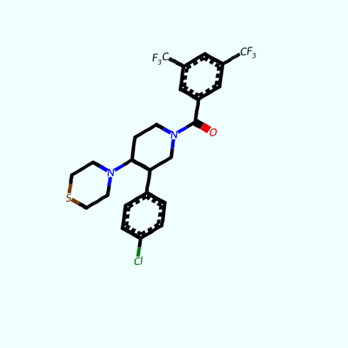 O=C(c1cc(C(F)(F)F)cc(C(F)(F)F)c1)N1CCC(N2CCSCC2)C(c2ccc(Cl)cc2)C1